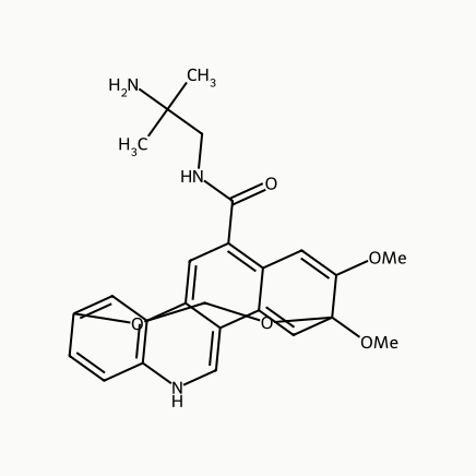 COC1=Cc2c(C(=O)NCC(C)(C)N)cc3c4c2=CC1(OC)OCOc1ccc(c-3c1)NC=4